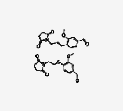 COc1cc(C=O)ccc1C=CCN1C(=O)CCC1=O.COc1cc(C=O)ccc1SCCN1C(=O)CCC1=O